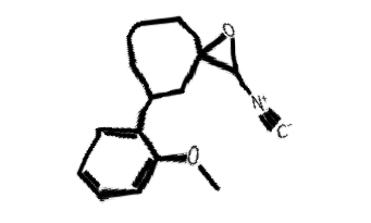 [C-]#[N+]C1OC12CCCC(c1ccccc1OC)C2